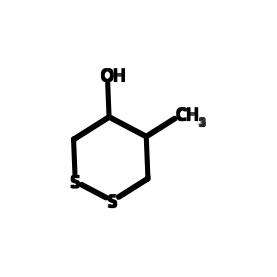 CC1CSSCC1O